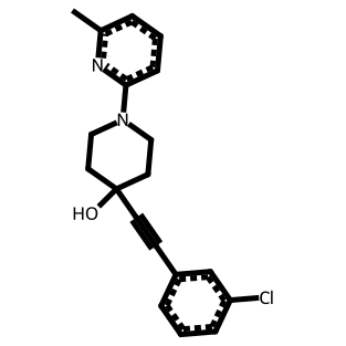 Cc1cccc(N2CCC(O)(C#Cc3cccc(Cl)c3)CC2)n1